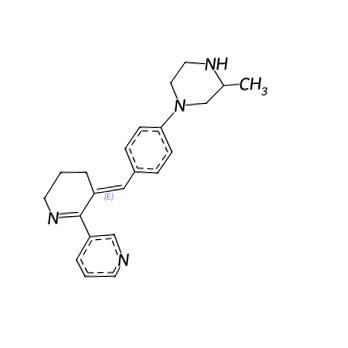 CC1CN(c2ccc(/C=C3\CCCN=C3c3cccnc3)cc2)CCN1